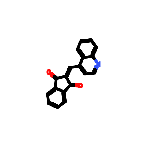 O=C1C(=Cc2ccnc3ccccc23)C(=O)c2ccccc21